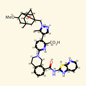 COC1CC2(C)CC3(Cn4ncc(-c5ccc(N6CCc7cccc(C(=O)Nc8nc9cccnc9s8)c7C6)nc5C(=O)O)c4C)CCC1C1(CC31)C2